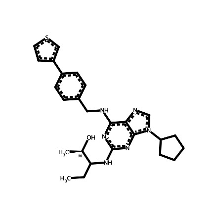 CCC(Nc1nc(NCc2ccc(-c3ccsc3)cc2)c2ncn(C3CCCC3)c2n1)[C@@H](C)O